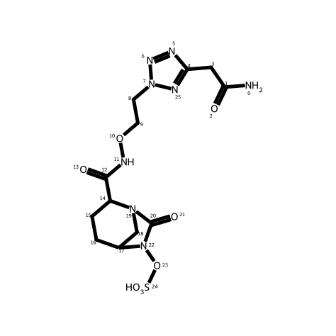 NC(=O)Cc1nnn(CCONC(=O)C2CCC3CN2C(=O)N3OS(=O)(=O)O)n1